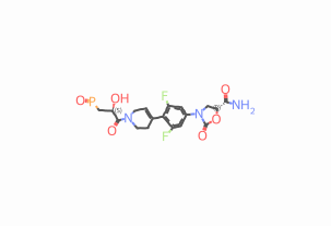 NC(=O)[C@H]1CN(c2cc(F)c(C3=CCN(C(=O)[C@H](O)CP=O)CC3)c(F)c2)C(=O)O1